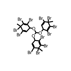 CC1(Br)C(Br)=CC(OC(OC2C=C(Br)C(C)(Br)C(Br)=C2Br)OC2C=C(Br)C(C)(Br)C(Br)=C2Br)C(Br)=C1Br